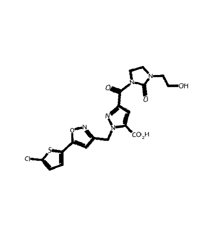 O=C(O)c1cc(C(=O)N2CCN(CCO)C2=O)nn1Cc1cc(-c2ccc(Cl)s2)on1